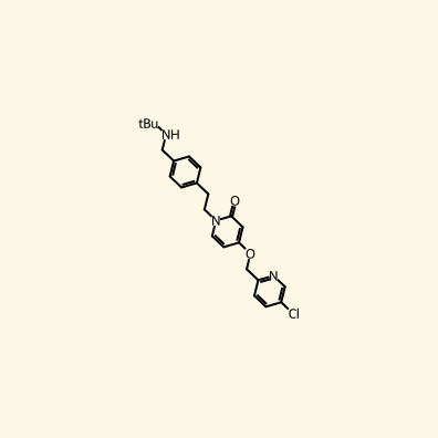 CC(C)(C)NCc1ccc(CCn2ccc(OCc3ccc(Cl)cn3)cc2=O)cc1